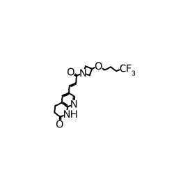 O=C1CCc2cc(/C=C/C(=O)N3CC(OCCCC(F)(F)F)C3)cnc2N1